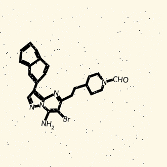 Nc1c(Br)c(CCC2CCN(C=O)CC2)nc2c(-c3ccc4ccccc4c3)cnn12